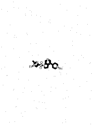 CCn1cc(S(=O)(=O)N2CCc3c(C4CCN(C(C)=O)CC4)cncc32)nc1C